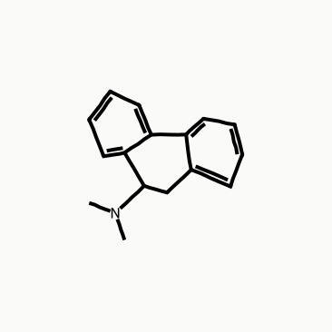 CN(C)C1Cc2ccccc2-c2ccccc21